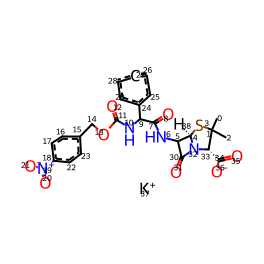 CC1(C)S[C@@H]2C(NC(=O)C(NC(=O)OCc3ccc([N+](=O)[O-])cc3)c3ccccc3)C(=O)N2[C@H]1C(=O)[O-].[K+]